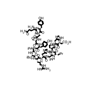 CC[C@H](C)[C@H](NC(=O)[C@@H](NC(=O)[C@H](Cc1ccc(O)cc1)NC(=O)[C@H](CO)NC(=O)CNC(=O)[C@H](Cc1ccc(O)cc1)NC(=O)[C@@H](N)CCC(N)=O)C(C)C)C(=O)N[C@@H](CCCNC(=N)N)C(=O)N[C@@H](Cc1c[nH]cn1)C(=O)N[C@H](C(=O)N[C@@H](CC(C)C)C(=O)N[C@@H](CCC(=O)O)C(=O)N[C@@H](Cc1c[nH]cn1)C(=O)NCC(=O)O)C(C)C